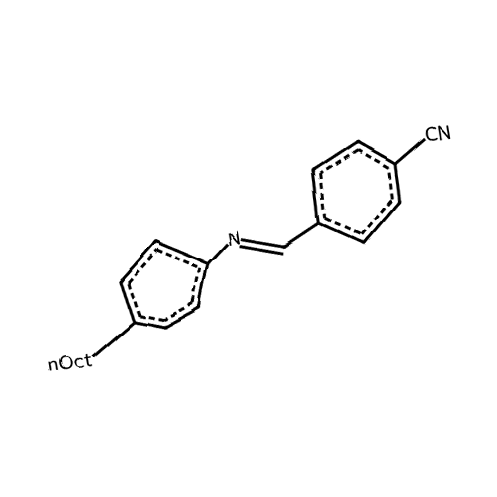 CCCCCCCCc1ccc(N=Cc2ccc(C#N)cc2)cc1